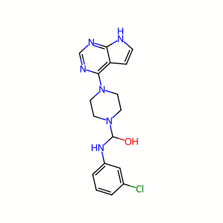 OC(Nc1cccc(Cl)c1)N1CCN(c2ncnc3[nH]ccc23)CC1